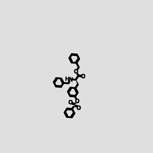 O=C(OCc1ccccc1)[C@H](Cc1cccc(OS(=O)(=O)c2ccccc2)c1)NCc1ccccc1